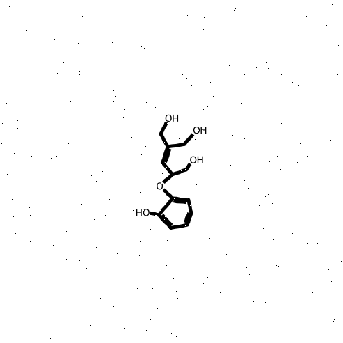 OCC(=CC(CO)Oc1ccccc1O)CO